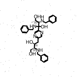 C[C@H](O)[C@H](NCc1ccccc1)C(O)(NCc1ccccc1)c1cnc(C[C@H](O)[C@H](CO)NCc2ccccc2)cn1